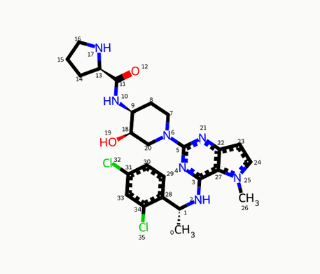 C[C@@H](Nc1nc(N2CC[C@H](NC(=O)[C@H]3CCCN3)[C@H](O)C2)nc2ccn(C)c12)c1ccc(Cl)cc1Cl